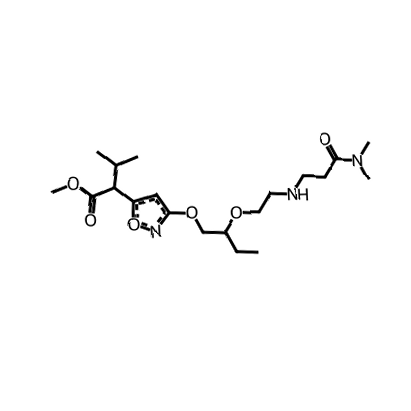 CCC(COc1cc(C(C(=O)OC)C(C)C)on1)OCCNCCC(=O)N(C)C